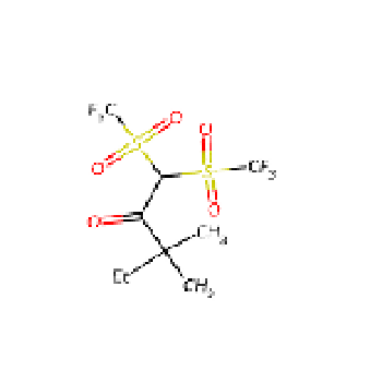 CCC(C)(C)C(=O)C(S(=O)(=O)C(F)(F)F)S(=O)(=O)C(F)(F)F